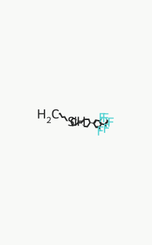 C=CCCC[Si@H]1CC[C@H]([C@H]2CC[C@H](c3cc(F)c(C(F)=C(F)F)c(F)c3)CC2)CC1